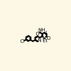 CCn1c(-c2ccc(Cc3cccc(Cl)c3)cn2)c(C(N)=O)ccc1=O